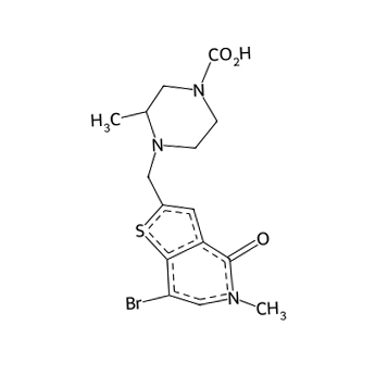 CC1CN(C(=O)O)CCN1Cc1cc2c(=O)n(C)cc(Br)c2s1